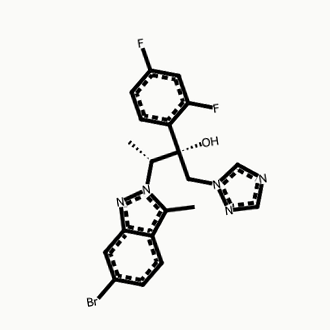 Cc1c2ccc(Br)cc2nn1[C@H](C)[C@](O)(Cn1cncn1)c1ccc(F)cc1F